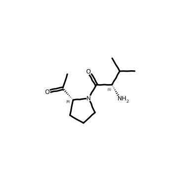 CC(=O)[C@H]1CCCN1C(=O)[C@@H](N)C(C)C